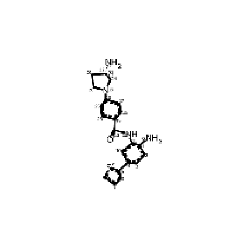 Nc1ccc(-c2cccs2)cc1NC(=O)c1ccc(N2CC[C@H](N)C2)cc1